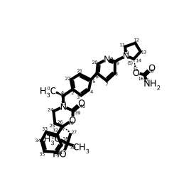 C[C@@H](c1ccc(-c2ccc(N3CCC[C@@H]3OC(N)=O)nc2)cc1)N1CC[C@](CC(C)(C)O)(c2ccccc2)OC1=O